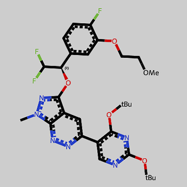 COCCOc1cc([C@@H](Oc2nn(C)c3nnc(-c4cnc(OC(C)(C)C)nc4OC(C)(C)C)cc23)C(F)F)ccc1F